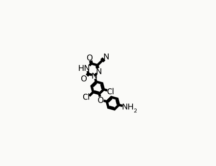 N#Cc1nn(-c2cc(Cl)c(Oc3ccc(N)cc3)c(Cl)c2)c(=O)[nH]c1=O